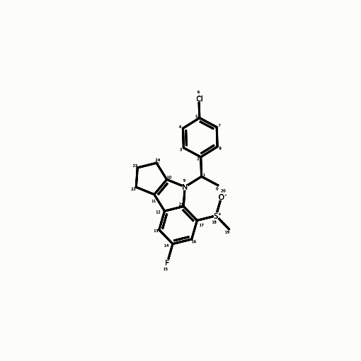 CC(c1ccc(Cl)cc1)n1c2c(c3cc(F)cc([S+](C)[O-])c31)CC[CH]2